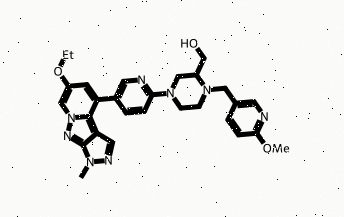 CCOc1cc(-c2ccc(N3CCN(Cc4ccc(OC)nc4)C(CO)C3)nc2)c2c3cnn(C)c3nn2c1